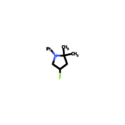 CC(C)N1CC(F)CC1(C)C